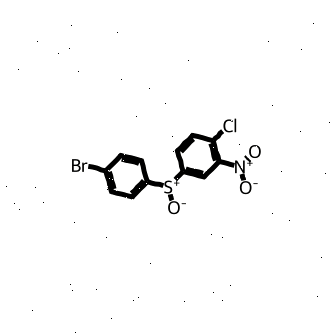 O=[N+]([O-])c1cc([S+]([O-])c2ccc(Br)cc2)ccc1Cl